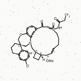 CO[C@H]1/C=C/CCCS(=O)(NC(=O)CC(F)(F)F)=NC(=O)c2ccc3c(c2)N(C[C@@H]2CC[C@H]21)C[C@@]1(CCCc2cc(Cl)ccc21)CO3